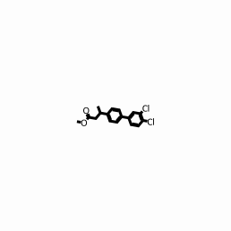 COC(=O)CC(C)c1ccc(-c2ccc(Cl)c(Cl)c2)cc1